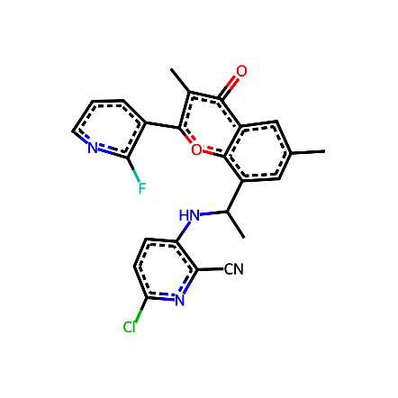 Cc1cc(C(C)Nc2ccc(Cl)nc2C#N)c2oc(-c3cccnc3F)c(C)c(=O)c2c1